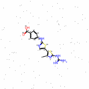 Cc1nc(NC(=N)N)sc1-c1cnc(Nc2ccc(C(=O)O)cc2)s1